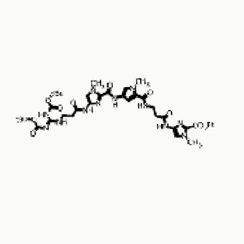 CCOC(=O)c1nc(NC(=O)CCNC(=O)c2cc(NC(=O)c3nc(NC(=O)CCNC(=NC(=O)OC(C)(C)C)NC(=O)OC(C)(C)C)cn3C)cn2C)cn1C